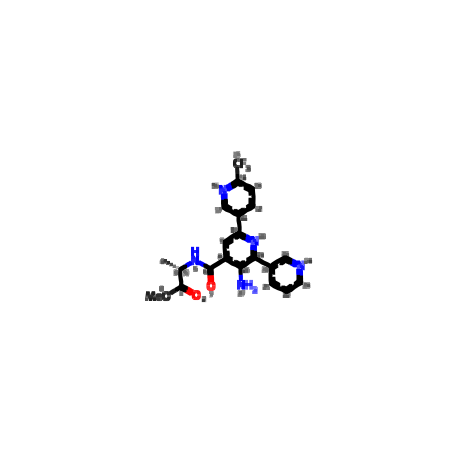 COC(=O)[C@H](C)NC(=O)c1cc(-c2ccc(C(F)(F)F)nc2)nc(-c2cccnc2)c1N